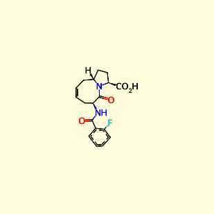 O=C(N[C@H]1CC=CC[C@@H]2CC[C@@H](C(=O)O)N2C1=O)c1ccccc1F